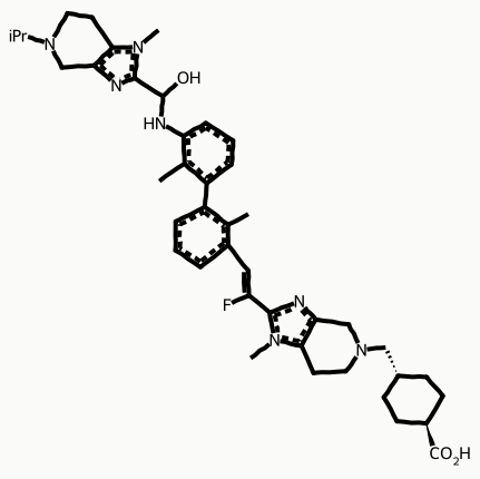 Cc1c(/C=C(\F)c2nc3c(n2C)CCN(C[C@H]2CC[C@H](C(=O)O)CC2)C3)cccc1-c1cccc(NC(O)c2nc3c(n2C)CCN(C(C)C)C3)c1C